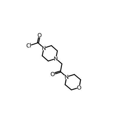 O=C(Cl)N1CCN(CC(=O)N2CCOCC2)CC1